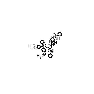 COc1ccc(C(OC[C@H]2O[C@@H](n3cnc4c(NC(=O)c5ccccc5)ncnc43)CC2OC(=O)c2ccccc2)(c2ccccc2)c2ccc(OC)cc2)cc1